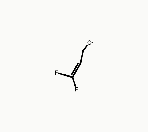 [O]CC=C(F)F